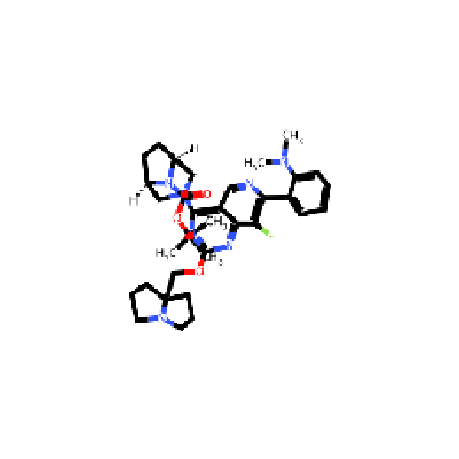 CN(C)c1ccccc1-c1ncc2c(N3C[C@H]4CC[C@@H](C3)N4C(=O)OC(C)(C)C)nc(OCC34CCCN3CCC4)nc2c1F